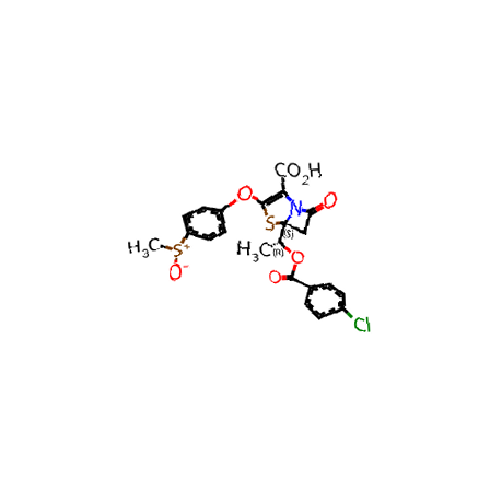 C[C@@H](OC(=O)c1ccc(Cl)cc1)[C@@]12CC(=O)N1C(C(=O)O)=C(Oc1ccc([S+](C)[O-])cc1)S2